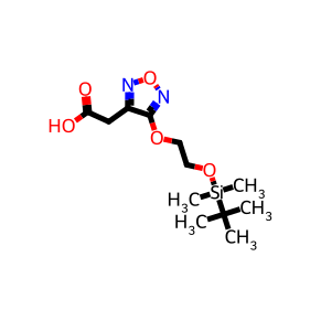 CC(C)(C)[Si](C)(C)OCCOc1nonc1CC(=O)O